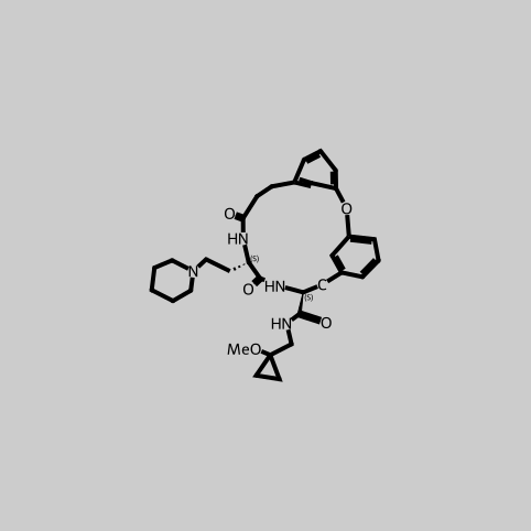 COC1(CNC(=O)[C@@H]2Cc3cccc(c3)Oc3cccc(c3)CCC(=O)N[C@@H](CCN3CCCCC3)C(=O)N2)CC1